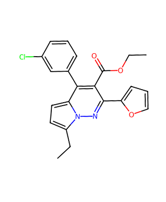 CCOC(=O)c1c(-c2ccco2)nn2c(CC)ccc2c1-c1cccc(Cl)c1